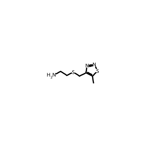 Cc1snnc1CSCCN